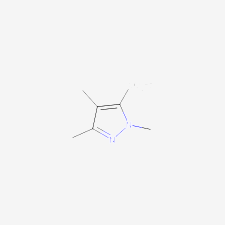 CCOC(=O)c1c(C)c(C)nn1C